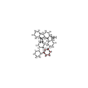 c1ccc(-c2ccccc2-c2ccccc2-c2c(-c3ccccc3)ccc3[nH]c4ccc5c6ccccc6[nH]c5c4c23)cc1